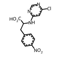 O=C(O)C(Cc1ccc([N+](=O)[O-])cc1)Nc1cc(Cl)ncn1